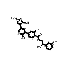 Cn1cc(-c2cnc(N)c(-c3ccc(C(=O)NCC(O)c4cccc(F)c4)c(F)c3)c2)c(C#N)n1